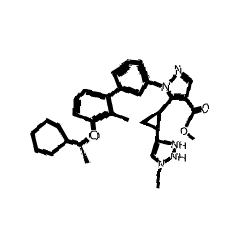 COC(=O)c1cnn(-c2cccc(-c3cccc(O[C@@H](C)C4CCCCC4)c3C)c2)c1C1CC1C1=CN(C)NN1